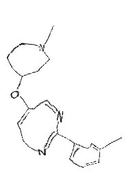 Cc1cccc(C2=NCC=C(OC3CCN(C)CC3)C=N2)c1